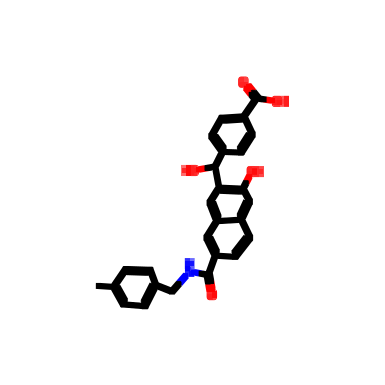 Cc1ccc(CNC(=O)c2ccc3cc(O)c(C(O)c4ccc(C(=O)O)cc4)cc3c2)cc1